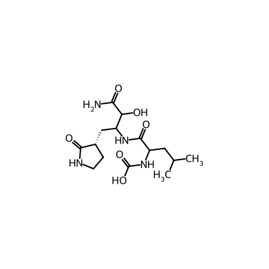 CC(C)CC(NC(=O)O)C(=O)NC(C[C@@H]1CCNC1=O)C(O)C(N)=O